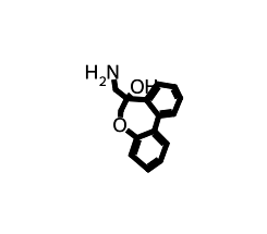 NCC1(O)COc2ccccc2-c2ccccc21